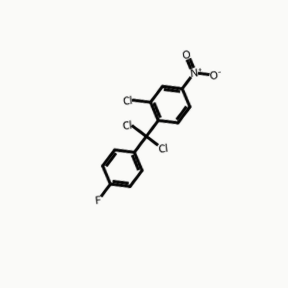 O=[N+]([O-])c1ccc(C(Cl)(Cl)c2ccc(F)cc2)c(Cl)c1